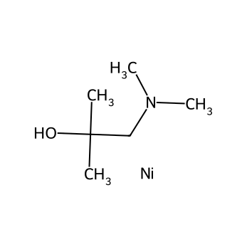 CN(C)CC(C)(C)O.[Ni]